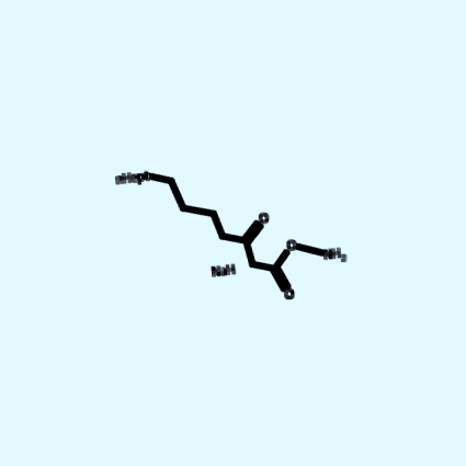 CCCCCCCCCCCC(=O)CC(=O)ON.[NaH]